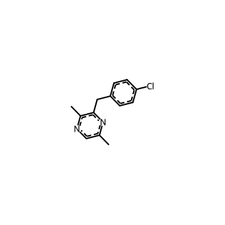 Cc1cnc(C)c(Cc2ccc(Cl)cc2)n1